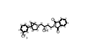 O=C1c2ccccc2C(=O)N1CC[C@@H](O)CN1CCC2(c3cccc(C(F)(F)F)c3)CC12